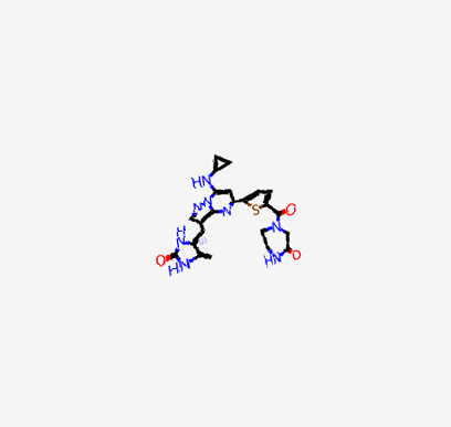 C=c1[nH]c(=O)[nH]/c1=C\c1cnn2c(NC3CC3)cc(-c3ccc(C(=O)N4CCNC(=O)C4)s3)nc12